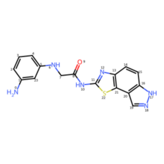 Nc1cccc(NCC(=O)Nc2nc3ccc4[nH]ncc4c3s2)c1